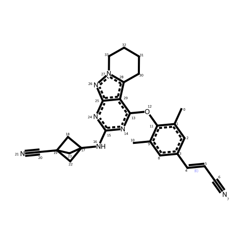 Cc1cc(/C=C/C#N)cc(C)c1Oc1nc(NC23CC(C#N)(C2)C3)nc2nn3c(c12)CCCC3